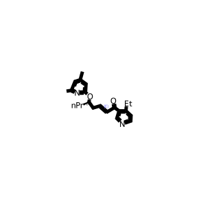 CCC[C@H](C/C=C/C(=O)c1cnccc1CC)Oc1cc(C)cc(C)n1